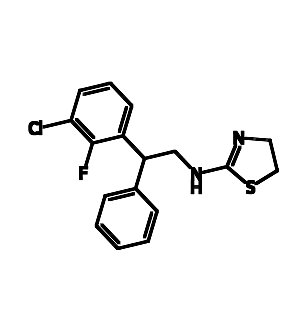 Fc1c(Cl)cccc1C(CNC1=NCCS1)c1ccccc1